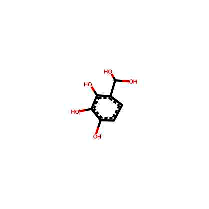 O[C](O)c1ccc(O)c(O)c1O